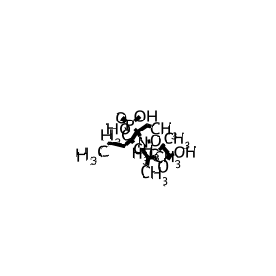 CCCC(C)(C)C(CC)(N(CC(C)C)OC(C)(C)C(=O)O)P(=O)(O)O